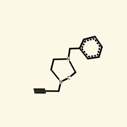 C#CCN1CCN(Cc2ccccc2)CC1